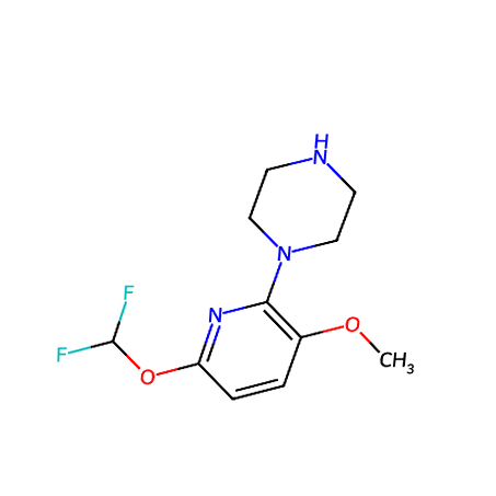 COc1ccc(OC(F)F)nc1N1CCNCC1